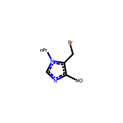 CCCn1cnc(N=O)c1CBr